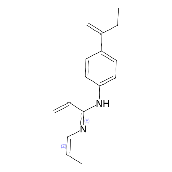 C=C/C(=N\C=C/C)Nc1ccc(C(=C)CC)cc1